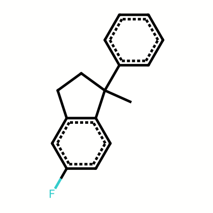 CC1(c2ccccc2)CCc2cc(F)ccc21